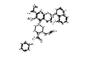 Cc1c(C(=O)O)nc2c(c1N1CCN(C(=O)OCc3ccccc3)C(CC#N)C1)CCN(c1cccc3cccc(C)c13)C2